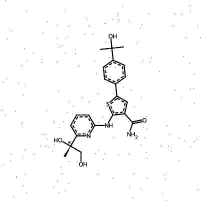 CC(C)(O)c1ccc(-c2cc(C(N)=O)c(Nc3cccc([C@@](C)(O)CO)n3)s2)cc1